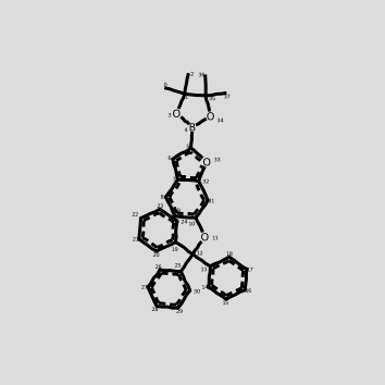 CC1(C)OB(c2cc3ccc(OC(c4ccccc4)(c4ccccc4)c4ccccc4)cc3o2)OC1(C)C